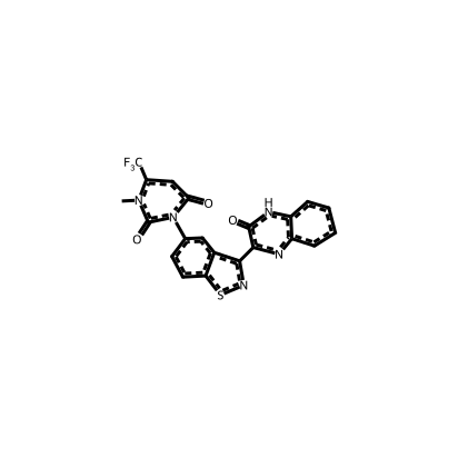 Cn1c(C(F)(F)F)cc(=O)n(-c2ccc3snc(-c4nc5ccccc5[nH]c4=O)c3c2)c1=O